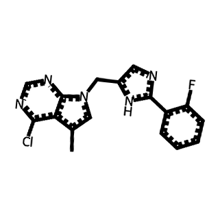 Cc1cn(Cc2cnc(-c3ccccc3F)[nH]2)c2ncnc(Cl)c12